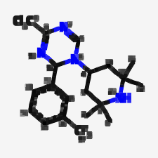 CC1(C)CC(N2C=NC(C(Cl)(Cl)Cl)=NC2c2cccc(C(F)(F)F)c2)CC(C)(C)N1